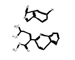 COC(=O)C(CC(C)C)c1ccc2ccccc2n1.O=C1N=Cc2ccc(Br)cc21